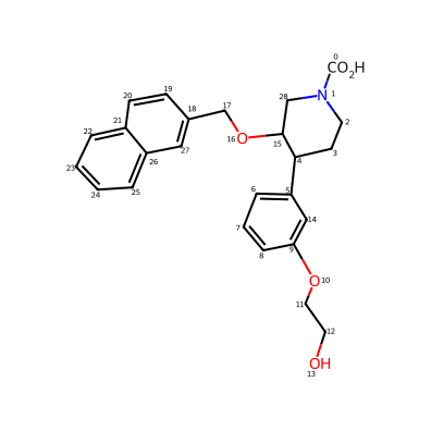 O=C(O)N1CCC(c2cccc(OCCO)c2)C(OCc2ccc3ccccc3c2)C1